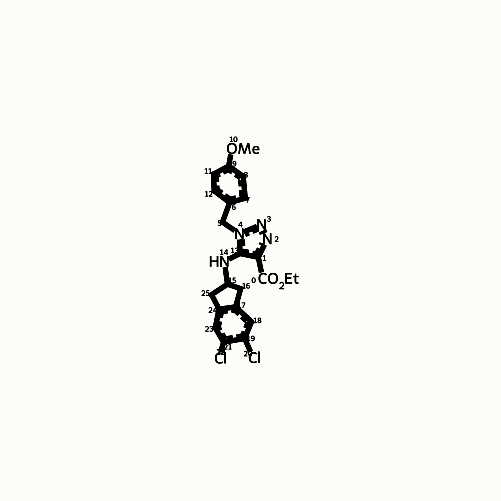 CCOC(=O)c1nnn(Cc2ccc(OC)cc2)c1NC1Cc2cc(Cl)c(Cl)cc2C1